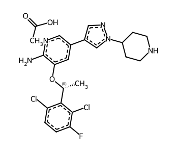 CC(=O)O.C[C@@H](Oc1cc(-c2cnn(C3CCNCC3)c2)cnc1N)c1c(Cl)ccc(F)c1Cl